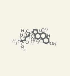 CC(CCC(=O)C(C)(C)C)[C@H]1CCC2[C@H]3C(C[C@H](O)[C@@]21C)[C@@]1(C)CC[C@@H](O)C[C@H]1C[C@H]3O